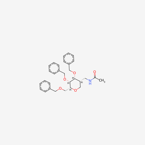 CC(=O)NC[C@@H]1CO[C@H](COCc2ccccc2)[C@H](OCc2ccccc2)[C@@H]1OCc1ccccc1